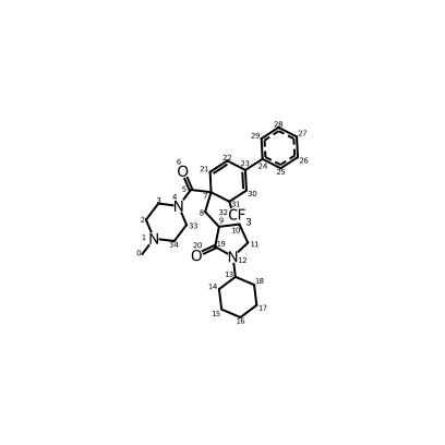 CN1CCN(C(=O)C2(CC3CCN(C4CCCCC4)C3=O)C=CC(c3ccccc3)=CC2C(F)(F)F)CC1